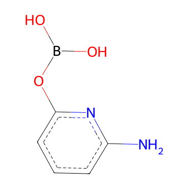 Nc1cccc(OB(O)O)n1